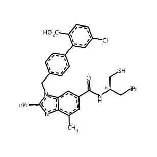 CCCc1nc2c(C)cc(C(=O)N[C@@H](CS)CC(C)C)cc2n1Cc1ccc(-c2cc(Cl)ccc2C(=O)O)cc1